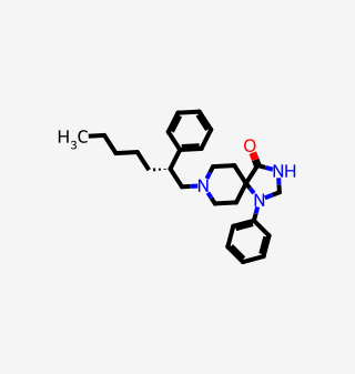 CCCCC[C@@H](CN1CCC2(CC1)C(=O)NCN2c1ccccc1)c1ccccc1